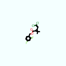 CC1(C)C(C=C(Cl)Cl)C1C(=O)OCc1ccc(F)cc1F